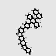 C1=CC2C=CC=C(c3c4ccccc4c(-c4ccc(C5=CC=C6Oc7cc8cc9oc%10ccccc%10c9cc8cc7C6C5)cc4)c4ccccc34)C2C=C1